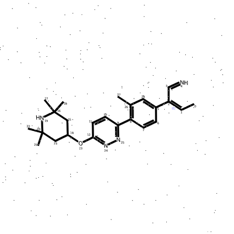 C/C=C(\C=N)c1ccc(-c2ccc(OC3CC(C)(C)NC(C)(C)C3)nn2)c(C)c1